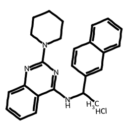 CC(Nc1nc(N2CCCCC2)nc2ccccc12)c1ccc2ccccc2c1.Cl